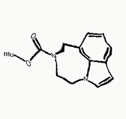 CC(C)(C)OC(=O)N1CCn2ccc3cccc(c32)C1